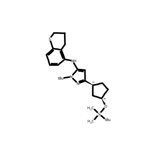 CC(C)(C)n1nc([C@H]2CC[C@@H](O[Si](C)(C)C(C)(C)C)C2)cc1Nc1cccc2c1CCCS2